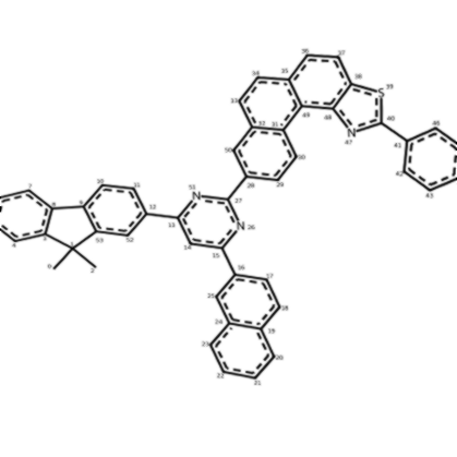 CC1(C)c2ccccc2-c2ccc(-c3cc(-c4ccc5ccccc5c4)nc(-c4ccc5c(ccc6ccc7sc(-c8ccccc8)nc7c65)c4)n3)cc21